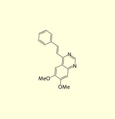 COc1cc2ncnc(C=Cc3ccccc3)c2cc1OC